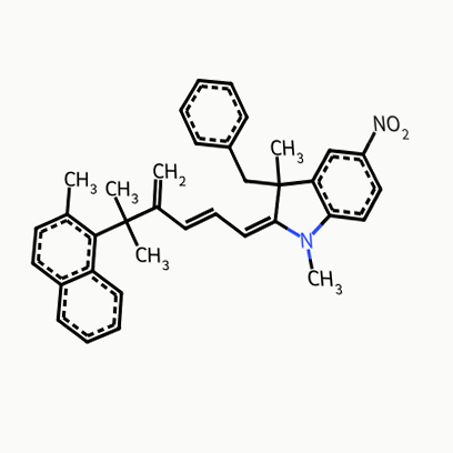 C=C(/C=C/C=C1/N(C)c2ccc([N+](=O)[O-])cc2C1(C)Cc1ccccc1)C(C)(C)c1c(C)ccc2ccccc12